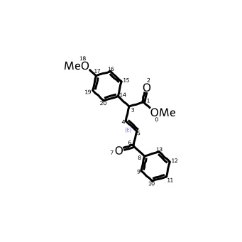 COC(=O)C(/C=C/C(=O)c1ccccc1)c1ccc(OC)cc1